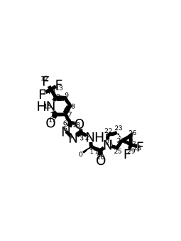 C[C@@H](Nc1nnc(-c2ccc(C(F)(F)F)[nH]c2=O)o1)C(=O)N1CC[C@]2(C1)CC2(F)F